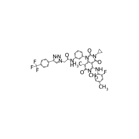 Cc1ccc(Nc2c3c(=O)n(C4CC4)c(=O)n(-c4cccc(NC(=O)Cn5cc(-c6ccc(C(F)(F)F)cc6)nn5)c4)c3c(C)c(=O)n2C)c(F)c1